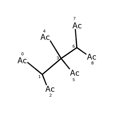 CC(=O)C(C(C)=O)C(C(C)=O)(C(C)=O)C(C(C)=O)C(C)=O